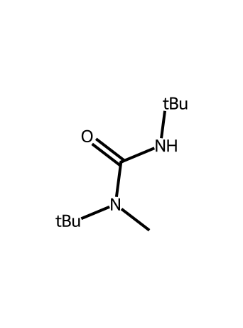 CN(C(=O)NC(C)(C)C)C(C)(C)C